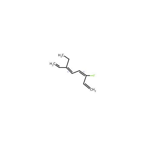 C=C/C(F)=C\C=C(\C=C)CC